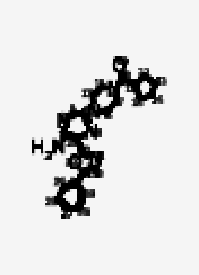 Nc1ncc(N2CCN(C(=O)C3CCCC3)CC2)nc1-c1nnc(-c2ccccc2)o1